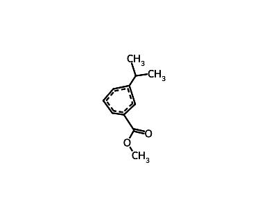 COC(=O)c1cccc(C(C)C)c1